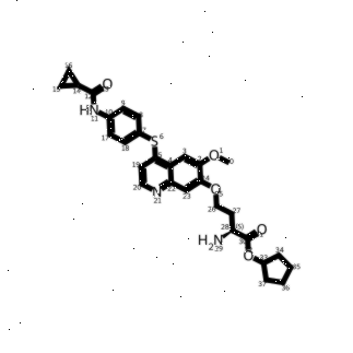 COc1cc2c(Sc3ccc(NC(=O)C4CC4)cc3)ccnc2cc1OCC[C@H](N)C(=O)OC1CCCC1